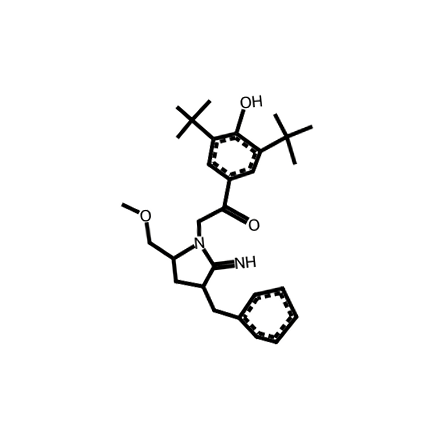 COCC1CC(Cc2ccccc2)C(=N)N1CC(=O)c1cc(C(C)(C)C)c(O)c(C(C)(C)C)c1